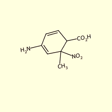 CC1([N+](=O)[O-])C=C(N)C=CC1C(=O)O